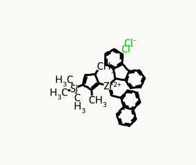 CC1=[C](/[Zr+2](=[CH]/c2cccc3ccccc23)[CH]2c3ccccc3-c3ccccc32)C(C)C=C1[Si](C)(C)C.[Cl-].[Cl-]